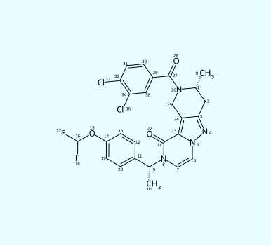 C[C@@H]1Cc2nn3ccn([C@H](C)c4ccc(OC(F)F)cc4)c(=O)c3c2CN1C(=O)c1ccc(Cl)c(Cl)c1